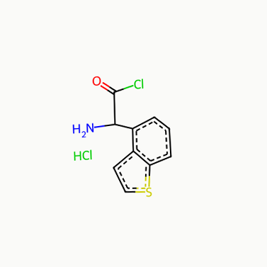 Cl.NC(C(=O)Cl)c1cccc2sccc12